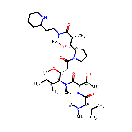 CC[C@H](C)[C@@H]([C@@H](CC(=O)N1CCC[C@H]1[C@H](OC)[C@@H](C)C(=O)NCCC1CCCCN1)OC)N(C)C(=O)[C@@H](NC(=O)[C@H](C(C)C)N(C)C)[C@@H](C)O